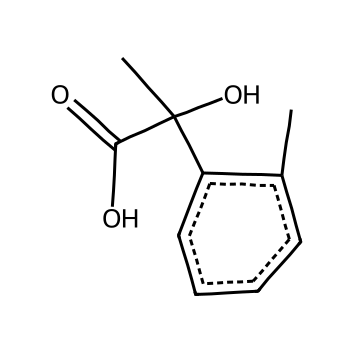 Cc1ccccc1C(C)(O)C(=O)O